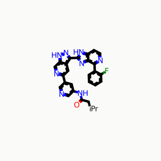 CC(C)CC(=O)Nc1cncc(-c2cc3c(-c4nc5c(-c6ccccc6F)nccc5[nH]4)n[nH]c3cn2)c1